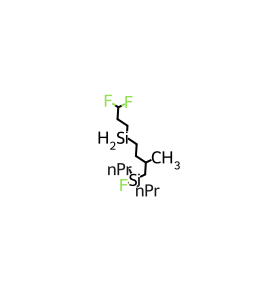 CCC[Si](F)(CCC)CC(C)CC[SiH2]CCC(F)F